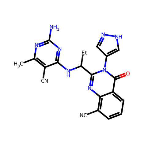 CCC(Nc1nc(N)nc(C)c1C#N)c1nc2c(C#N)cccc2c(=O)n1-c1cn[nH]c1